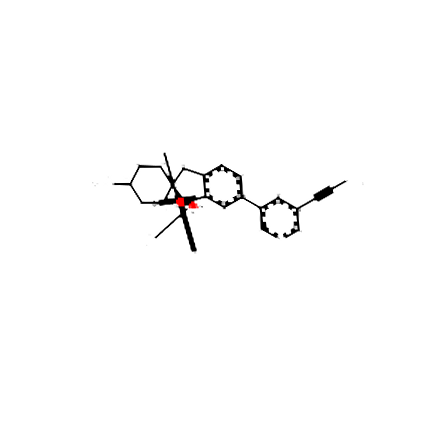 CC#Cc1cncc(-c2ccc3c(c2)C2(NC(=S)N(C)C2=O)C2(CCC(OC)CC2)C3)c1